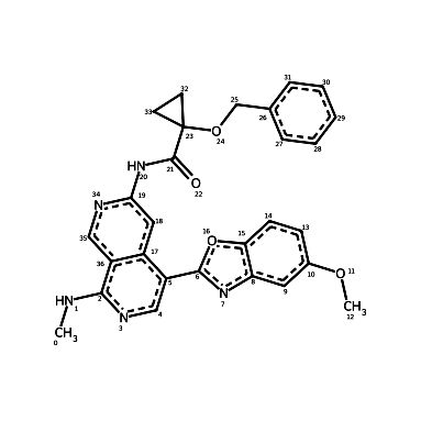 CNc1ncc(-c2nc3cc(OC)ccc3o2)c2cc(NC(=O)C3(OCc4ccccc4)CC3)ncc12